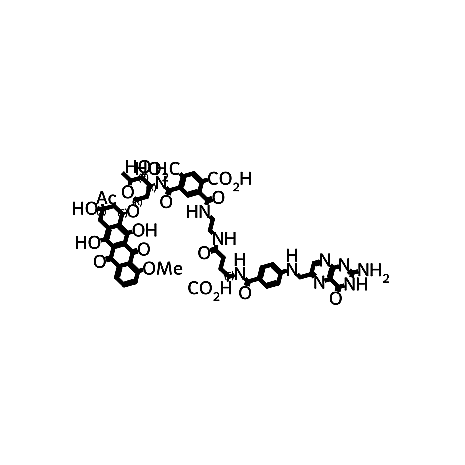 COc1cccc2c1C(=O)c1c(O)c3c(c(O)c1C2=O)C[C@@](O)(C(C)=O)C[C@@H]3O[C@H]1C[C@@H](NC(=O)c2cc(C(=O)NCCNC(=O)CC[C@H](NC(=O)c3ccc(NCc4cnc5nc(N)[nH]c(=O)c5n4)cc3)C(=O)O)c(C(=O)O)cc2C(=O)O)[C@@H](O)C(C)O1